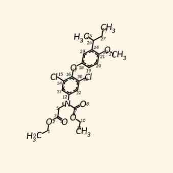 CCOC(=O)CN(C(=O)OCC)c1cc(Cl)c(Oc2ccc(OC)c(C(C)CC)c2)c(Cl)c1